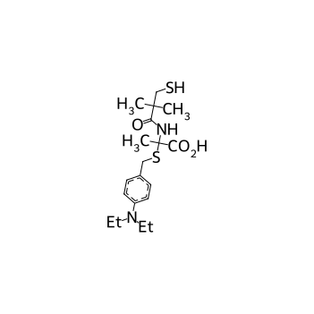 CCN(CC)c1ccc(CSC(C)(NC(=O)C(C)(C)CS)C(=O)O)cc1